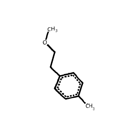 COCCc1ccc(C)cc1